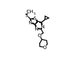 CSc1nc2nc(COC3CCOCC3)nc(C3CC3)c2s1